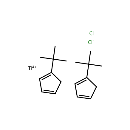 CC(C)(C)C1=CC=CC1.CC(C)(C)C1=CC=CC1.[Cl-].[Cl-].[Ti+4]